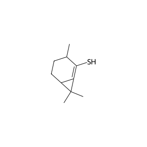 CC1CCC2C(=C1S)C2(C)C